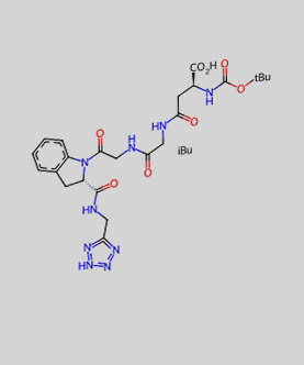 CC[C@H](C)C(NC(=O)C[C@H](NC(=O)OC(C)(C)C)C(=O)O)C(=O)NCC(=O)N1c2ccccc2C[C@H]1C(=O)NCc1nn[nH]n1